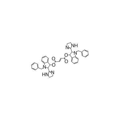 O=C(/C=C/C(=O)OC1c2ccccc2N(Cc2ccccc2)C1C1=NCCN1)OC1c2ccccc2N(Cc2ccccc2)C1C1=NCCN1